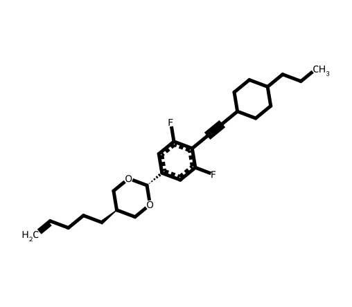 C=CCCC[C@H]1CO[C@H](c2cc(F)c(C#CC3CCC(CCC)CC3)c(F)c2)OC1